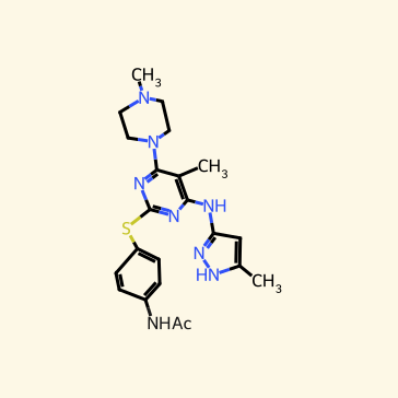 CC(=O)Nc1ccc(Sc2nc(Nc3cc(C)[nH]n3)c(C)c(N3CCN(C)CC3)n2)cc1